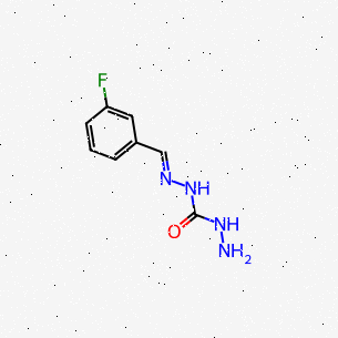 NNC(=O)NN=Cc1cccc(F)c1